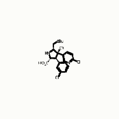 CC(C)(C)C[C@@H]1N[C@@H](C(=O)O)[C@H](c2cccc(Cl)c2)[C@@]1(C#N)c1ccc(Cl)nc1